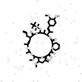 C=CCC1/C=C(\C)CC(C)CC(OC)C2OC(O)(C(=O)C(=O)N3CCCCC3C(=O)OC(C(C)=CC3CCC(O)C(OC)C3)C(C)C(O[Si](C)(C)C(C)(C)C)CC1=O)C(C)CC2OC